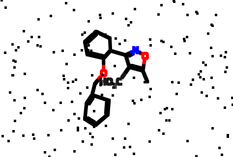 Cc1onc(C2CC=CC=C2OCc2ccccc2)c1C(=O)O